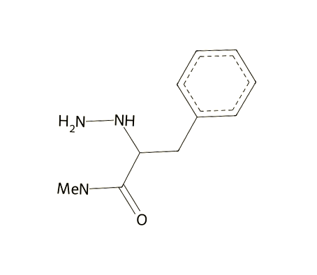 CNC(=O)C(Cc1ccccc1)NN